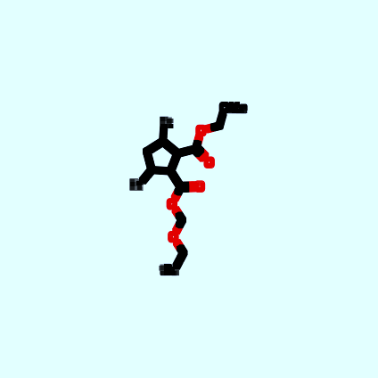 CCC1CC(CC)C(C(=O)OCOCC(C)(C)C)C1C(=O)OCOC